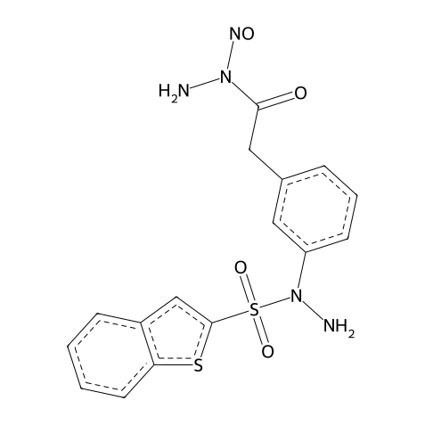 NN(N=O)C(=O)Cc1cccc(N(N)S(=O)(=O)c2cc3ccccc3s2)c1